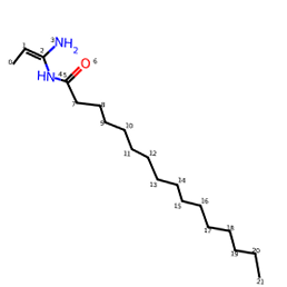 CC=C(N)NC(=O)CCCCCCCCCCCCCCC